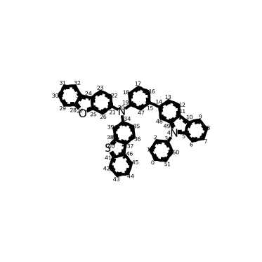 c1ccc(-n2c3ccccc3c3ccc(-c4cccc(N(c5ccc6c(c5)oc5ccccc56)c5ccc6c(c5)sc5ccccc56)c4)cc32)cc1